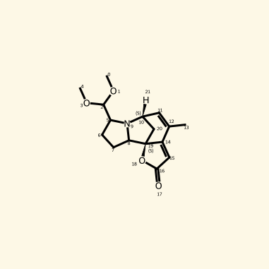 COC(OC)C1CCC2N1[C@@H]1C=C(C)C3=CC(=O)O[C@@]32C1